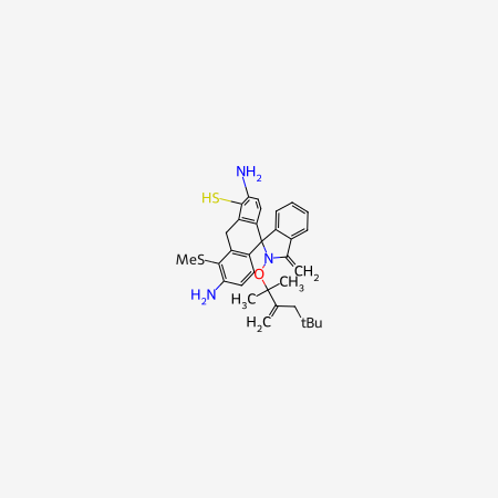 C=C1c2ccccc2C2(c3ccc(N)c(S)c3Cc3c2ccc(N)c3SC)N1OC(C)(C)C(=C)CC(C)(C)C